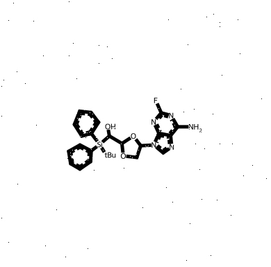 CC(C)(C)[Si](c1ccccc1)(c1ccccc1)C(O)C1OCC(n2cnc3c(N)nc(F)nc32)O1